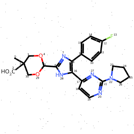 CC1(C(=O)O)COC(c2nc(-c3ccc(F)cc3)c(-c3ccnc(N4CCCC4)n3)[nH]2)OC1